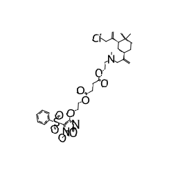 C=C(CN(C)CCOC(=O)CCC(=O)OCCOc1no[n+]([O-])c1S(=O)(=O)c1ccccc1)[C@@H]1CCC(C)(C)[C@H](C(=C)CCl)C1